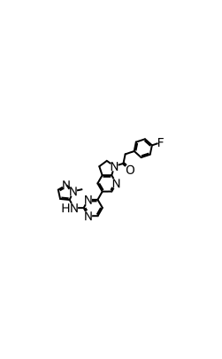 Cn1nccc1Nc1nccc(-c2cnc3c(c2)CCN3C(=O)Cc2ccc(F)cc2)n1